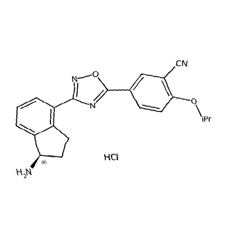 CC(C)Oc1ccc(-c2nc(-c3cccc4c3CC[C@H]4N)no2)cc1C#N.Cl